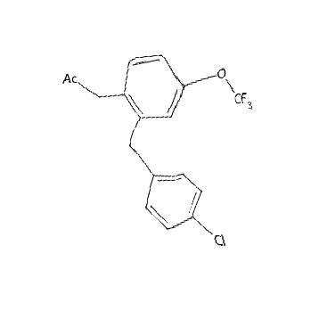 CC(=O)Cc1ccc(OC(F)(F)F)cc1Cc1ccc(Cl)cc1